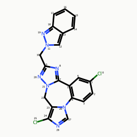 Clc1ccc2c(c1)-c1nc(Cn3cc4ccccc4n3)nn1Cc1c(Cl)ncn1-2